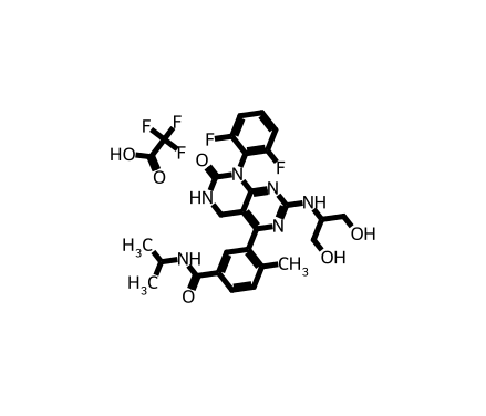 Cc1ccc(C(=O)NC(C)C)cc1-c1nc(NC(CO)CO)nc2c1CNC(=O)N2c1c(F)cccc1F.O=C(O)C(F)(F)F